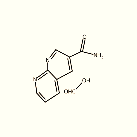 NC(=O)c1cnc2ncccc2c1.O=CO